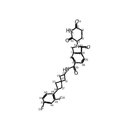 O=C1CCC(N2Cc3cc(C(=O)NC4CC5(C4)CC(c4ccc(F)cc4F)C5)ccc3C2=O)C(=O)N1